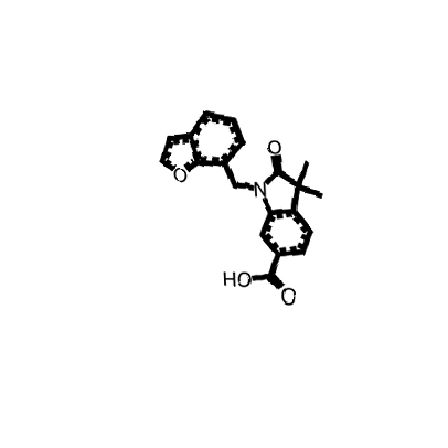 CC1(C)C(=O)N(Cc2cccc3ccoc23)c2cc(C(=O)O)ccc21